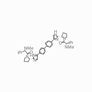 CN[C@H](C(=O)N1CCC[C@H]1c1nc(-c2ccc(-c3ccc(-c4cnc([C@@H]5CCCN5C(=O)[C@@H](NC)C(C)C)[nH]4)cc3)cc2)c[nH]1)C(C)C